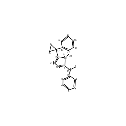 CN(c1ccccc1)c1nnc(C2(c3ccccc3)CC2)n1C